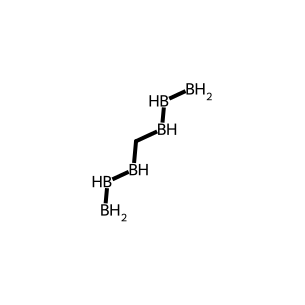 BBBCBBB